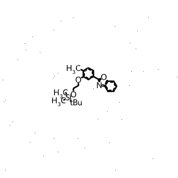 Cc1ccc(-c2nc3ccccc3o2)cc1OCCO[Si](C)(C)C(C)(C)C